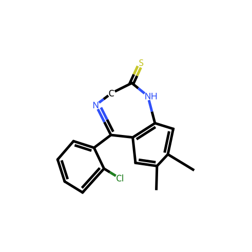 Cc1cc2c(cc1C)C(c1ccccc1Cl)=NCC(=S)N2